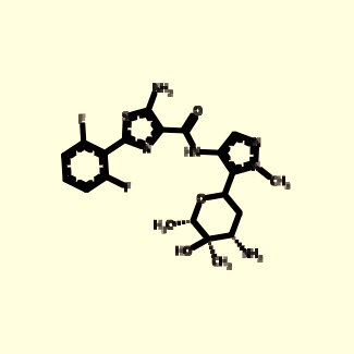 C[C@@H]1OC(c2c(NC(=O)c3nc(-c4c(F)cccc4F)sc3N)cnn2C)C[C@H](N)[C@@]1(C)O